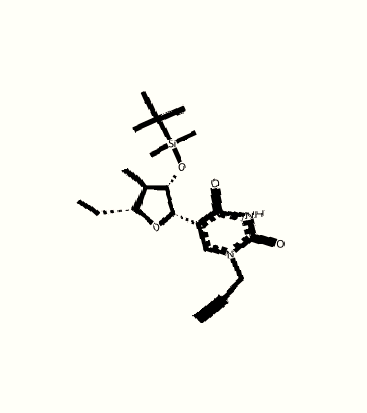 C#CCn1cc([C@@H]2O[C@H](CC)C(C)[C@@H]2O[Si](C)(C)C(C)(C)C)c(=O)[nH]c1=O